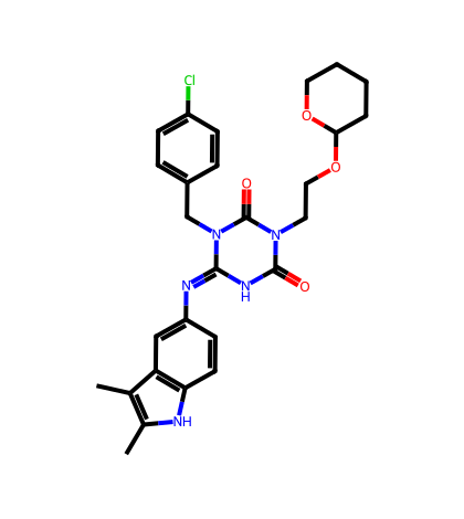 Cc1[nH]c2ccc(/N=c3\[nH]c(=O)n(CCOC4CCCCO4)c(=O)n3Cc3ccc(Cl)cc3)cc2c1C